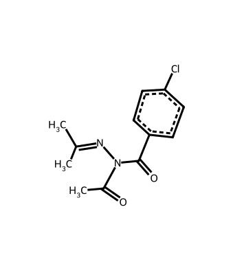 CC(=O)N(N=C(C)C)C(=O)c1ccc(Cl)cc1